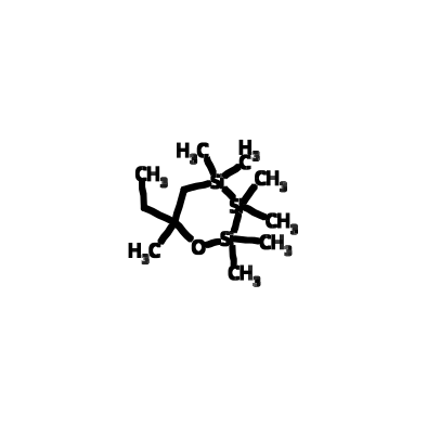 CCC1(C)C[Si](C)(C)[Si](C)(C)[Si](C)(C)O1